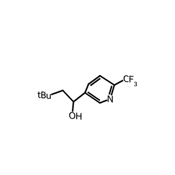 CC(C)(C)CC(O)c1ccc(C(F)(F)F)nc1